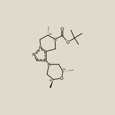 C[C@H]1CN(c2cnn3c2CN(C(=O)OC(C)(C)C)[C@@H](C)C3)C[C@H](C)O1